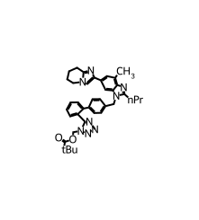 CCCc1nc2c(C)cc(-c3cn4c(n3)CCCC4)cc2n1Cc1ccc(-c2ccccc2-c2nnnn2COC(=O)C(C)(C)C)cc1